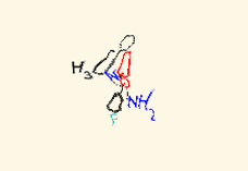 C[C@@H](C1CCCCC1)N1CC[C@](CCN)(c2ccc(F)cc2)OC1=O